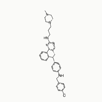 CN1CCN(CCCNc2ncc3c(n2)-c2ccccc2C(c2ccc(NCc4ccc(Cl)cc4)cc2)C3)CC1